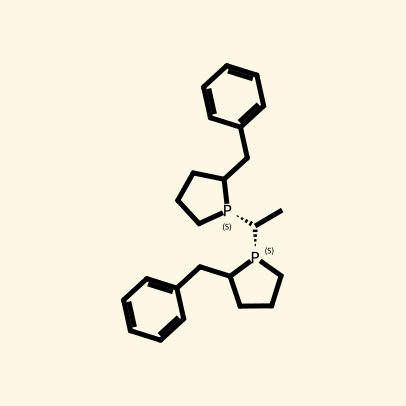 CC([P@]1CCCC1Cc1ccccc1)[P@]1CCCC1Cc1ccccc1